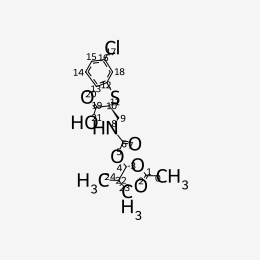 CC(=O)O[C@@H](OC(=O)NC[C@H](Sc1cccc(Cl)c1)C(=O)O)C(C)C